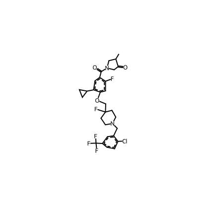 CC1CN(C(=O)c2cc(C3CC3)c(OCC3(F)CCN(Cc4cc(C(F)(F)F)ccc4Cl)CC3)cc2F)CC1=O